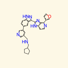 c1cc2[nH]c(-c3n[nH]c4ccc(-c5cncc(CNCC6CCCC6)c5)cc34)nc2c(-c2ccoc2)n1